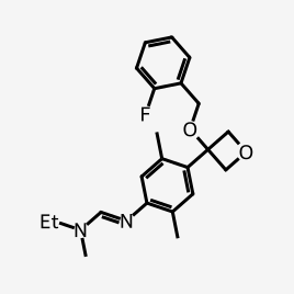 CCN(C)C=Nc1cc(C)c(C2(OCc3ccccc3F)COC2)cc1C